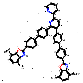 CCCc1ccc(CCC)c2oc(-c3ccc(-c4ccc(-c5ccc(-c6ccccn6)nc5-c5ccc(-c6ccc(-c7nc8c(CCC)ccc(CCC)c8o7)cc6)cc5)cc4)cc3)nc12